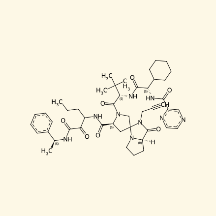 C#CCN1C(=O)[C@H]2CCCN2C12C[C@@H](C(=O)NC(CCC)C(=O)C(=O)N[C@@H](C)c1ccccc1)N(C(=O)[C@@H](NC(=O)[C@@H](NC(=O)c1cnccn1)C1CCCCC1)C(C)(C)C)C2